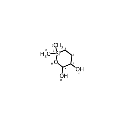 C[Si]1(C)CCC(O)C(O)O1